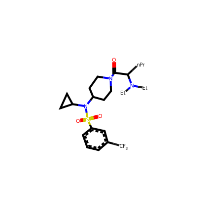 CCCC(C(=O)N1CCC(N(C2CC2)S(=O)(=O)c2cccc(C(F)(F)F)c2)CC1)N(CC)CC